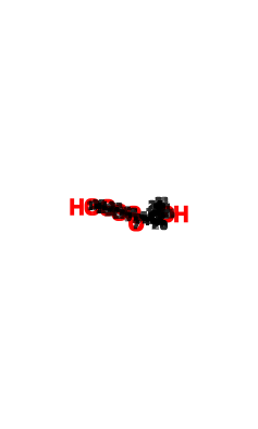 Cc1cc(CCC(=O)OCCOCCOCCO)cc(C(C)(C)C)c1O